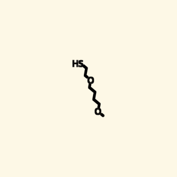 COCCCCOCCS